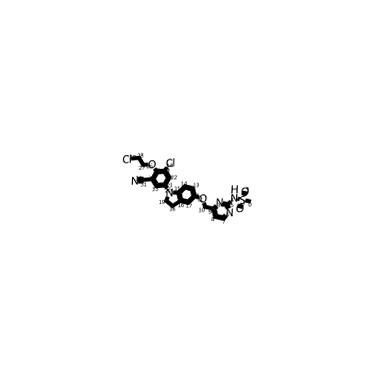 CS(=O)(=O)Nc1nccc(COc2ccc3c(c2)CCN3c2cc(Cl)c(OCCCl)c(C#N)c2)n1